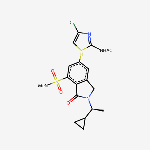 CNS(=O)(=O)c1cc([SH]2C=C(Cl)N=C2NC(C)=O)cc2c1C(=O)N([C@@H](C)C1CC1)C2